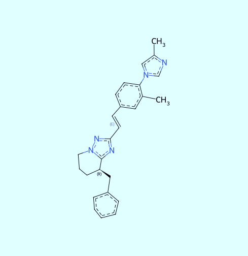 Cc1cn(-c2ccc(/C=C/c3nc4n(n3)CCC[C@@H]4Cc3ccccc3)cc2C)cn1